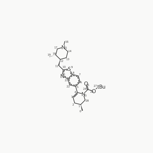 C[C@H]1CC=C(c2ccc3sc(C[C@@H]4CCN(C)C[C@H]4C)nc3c2)N(C(=O)OC(C)(C)C)C1